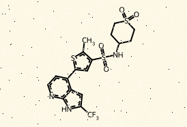 Cc1sc(-c2ccnc3[nH]c(C(F)(F)F)cc23)cc1S(=O)(=O)NC1CCS(=O)(=O)CC1